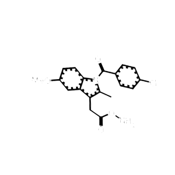 COc1ccc2c(c1)c(CC(=O)ON)c(C)n2C(=O)c1ccc(Cl)cc1